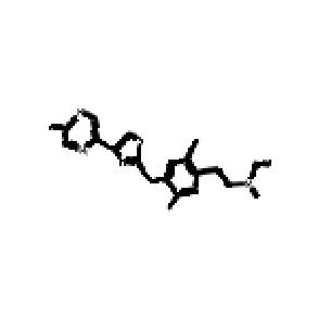 CCN(C)CCc1cc(C)c(Cc2nc(-c3cnc(C)cn3)cs2)cc1C